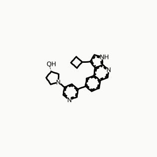 O[C@H]1CCN(c2cncc(-c3ccc4cnc5[nH]cc(C6CCC6)c5c4c3)c2)C1